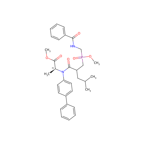 COC(=O)[C@H](C)N(C(=O)C(CC(C)C)CP(=O)(CNC(=O)c1ccccc1)OC)c1ccc(-c2ccccc2)cc1